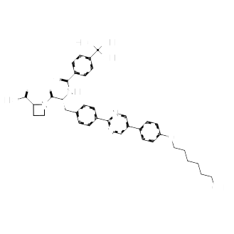 CCCCCCCOc1ccc(-c2cnc(-c3ccc(C[C@H](NC(=O)c4ccc(C(C)(C)C)cc4)C(=O)N4CCC4C(=O)O)cc3)nc2)cc1